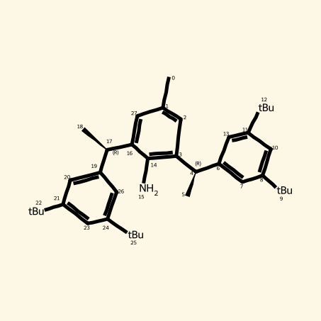 Cc1cc([C@H](C)c2cc(C(C)(C)C)cc(C(C)(C)C)c2)c(N)c([C@H](C)c2cc(C(C)(C)C)cc(C(C)(C)C)c2)c1